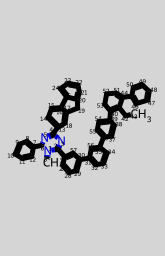 C=N/C(=N\C(=N/Cc1ccccc1)c1ccc2c(c1)Cc1ccccc1-2)c1cccc(-c2cccc(-c3ccc(C4=C(CC)C(c5ccccc5)=CCC4)cc3)c2)c1